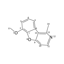 COc1cccc2c1oc1ccnc(C)c12